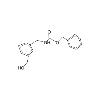 O=C(NCc1cccc(CO)c1)OCc1ccccc1